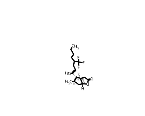 CCCCC(CC=C(O)[C@@H]1[C@H]2CC(=O)O[C@@H]2C[C@H]1C)C(F)(F)F